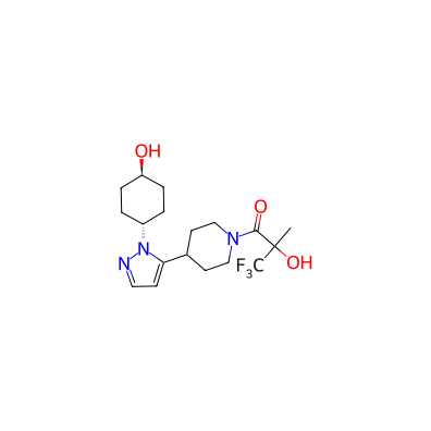 CC(O)(C(=O)N1CCC(c2ccnn2[C@H]2CC[C@H](O)CC2)CC1)C(F)(F)F